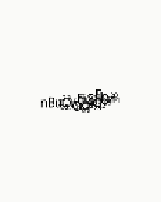 CCCCC1CCC(COc2ccc3c(sc4c(F)c(OCC5CC5)ccc43)c2F)CC1